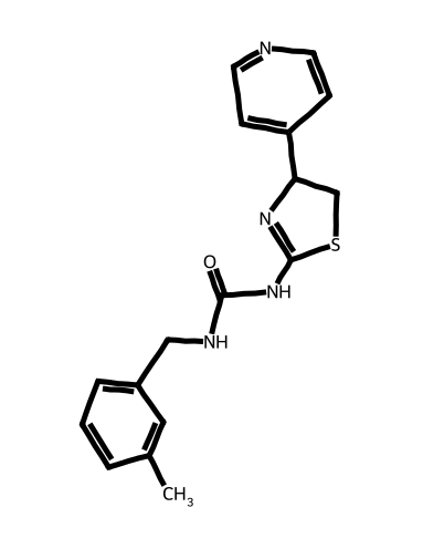 Cc1cccc(CNC(=O)NC2=NC(c3ccncc3)CS2)c1